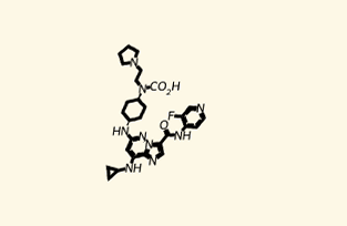 O=C(Nc1ccncc1F)c1cnc2c(NC3CC3)cc(N[C@H]3CC[C@H](N(CCN4CCCC4)C(=O)O)CC3)nn12